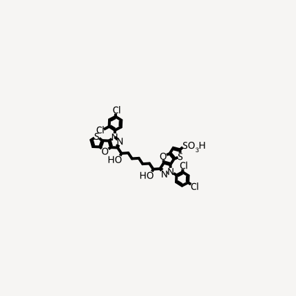 O=S(=O)(O)c1cc2oc3c(C(O)CCCCCC(O)c4nn(-c5ccc(Cl)cc5Cl)c5c4oc4ccsc45)nn(-c4ccc(Cl)cc4Cl)c3c2s1